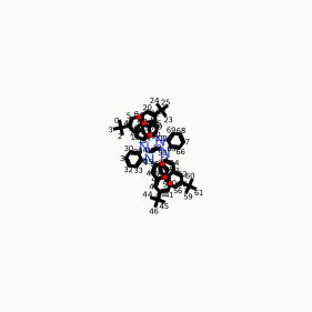 CC(C)(C)c1ccc2ccc(N3C(=C4N(c5ccc6ccc(C(C)(C)C)cc6c5)c5ccccc5N4c4ccc5ccc(C(C)(C)C)cc5c4)N(c4ccc5ccc(C(C)(C)C)cc5c4)c4ccccc43)cc2c1